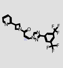 O=C(/C=C\n1cnc(-c2cc(C(F)(F)F)cc(C(F)(F)F)c2)n1)N1CC(c2ccccn2)C1